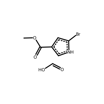 COC(=O)c1c[nH]c(Br)c1.O=CO